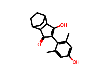 Cc1cc(O)cc(C)c1C1=C(O)C2C3CCC(CC3)C2C1=O